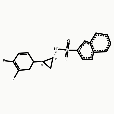 O=S(=O)(N[C@@H]1C[C@H]1C1C=CC(F)=C(F)C1)c1ccc2ccccc2c1